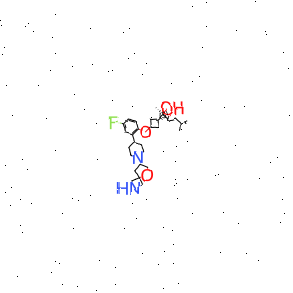 C[C](C)CC[C@](C)(O)C1CC(Oc2ccc(F)cc2C2CCN(C3COC4(CNC4)C3)CC2)C1